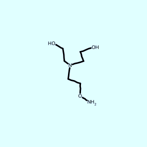 NOCCN(CCO)CCO